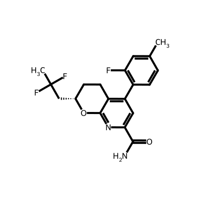 Cc1ccc(-c2cc(C(N)=O)nc3c2CC[C@@H](CC(C)(F)F)O3)c(F)c1